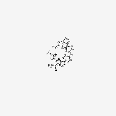 C=C(c1ccccc1-c1ccc(CN2CCC(CC#N)(n3cc(C(N)=O)c(NC(=O)C4CC4)n3)CC2)cc1)N(C)C